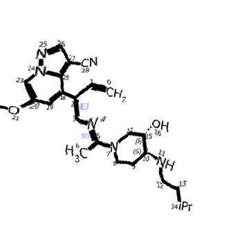 C=C/C(=C\N=C(/C)N1CC[C@H](NCCC(C)C)[C@@H](O)C1)c1cc(OCC)cn2ncc(C#N)c12